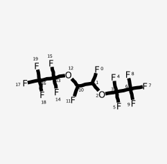 FC(OC(F)(F)C(F)(F)F)C(F)OC(F)(F)C(F)(F)F